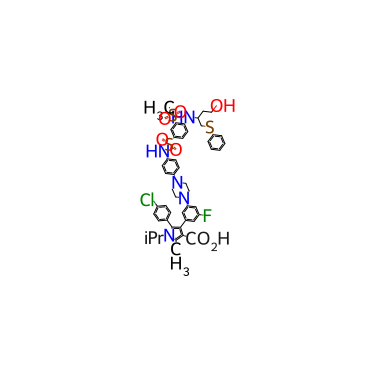 Cc1c(C(=O)O)c(-c2cc(F)cc(N3CCN(c4ccc(NS(=O)(=O)c5ccc(NC(CCO)CSc6ccccc6)c(S(C)(=O)=O)c5)cc4)CC3)c2)c(-c2ccc(Cl)cc2)n1C(C)C